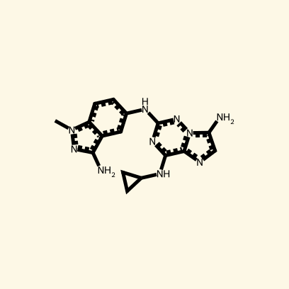 Cn1nc(N)c2cc(Nc3nc(NC4CC4)c4ncc(N)n4n3)ccc21